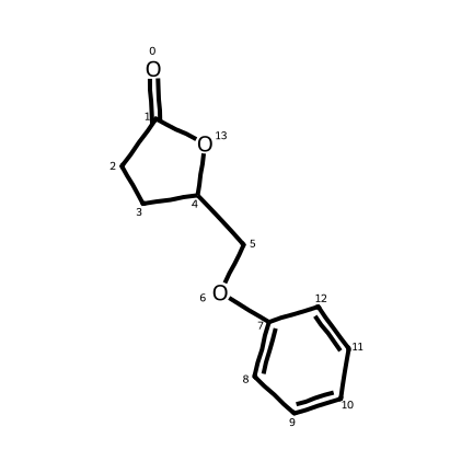 O=C1CCC(COc2ccccc2)O1